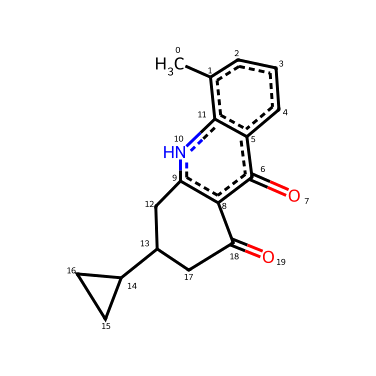 Cc1cccc2c(=O)c3c([nH]c12)CC(C1CC1)CC3=O